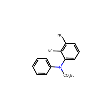 CCOC(=O)N(c1ccccc1)c1cccc(C#N)c1C#N